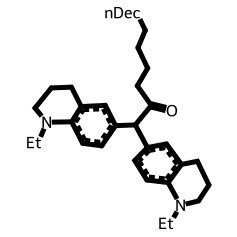 CCCCCCCCCCCCCCC(=O)C(c1ccc2c(c1)CCCN2CC)c1ccc2c(c1)CCCN2CC